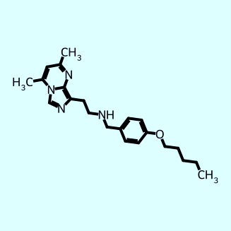 CCCCCOc1ccc(CNCCc2ncn3c(C)cc(C)nc23)cc1